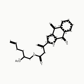 C=CCCC(COC(=O)CC(=C)c1cc2c(o1)C(=O)c1ccccc1C2=C)OC(C)=O